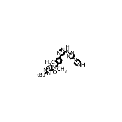 Cc1cc(-c2cc(Nc3ncc(N4CCNCC4)cn3)ncn2)ccc1[C@@H](C)NC(=O)c1nc(C(C)(C)C)no1